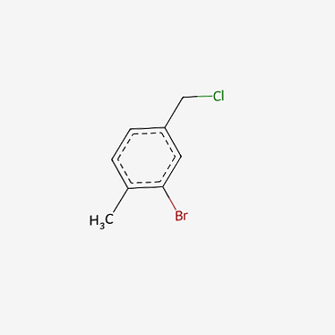 Cc1ccc(CCl)cc1Br